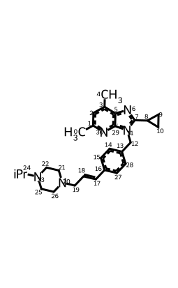 Cc1cc(C)c2nc(C3CC3)n(Cc3ccc(C=CCN4CCN(C(C)C)CC4)cc3)c2n1